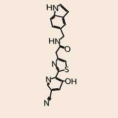 N#Cc1cnc(-c2nc(CC(=O)NCc3ccc4[nH]ccc4c3)cs2)c(O)c1